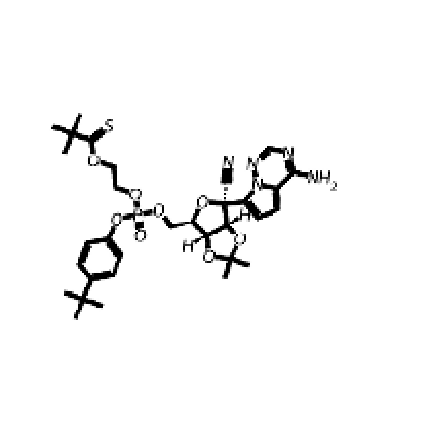 CC1(C)O[C@H]2[C@@H](O1)[C@](C#N)(c1ccc3c(N)ncnn13)O[C@@H]2COP(=O)(OCCOC(=S)C(C)(C)C)Oc1ccc(C(C)(C)C)cc1